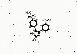 COc1cccc(-c2cc(C)[nH]c2-c2ccc(S(C)(=O)=O)cc2)c1